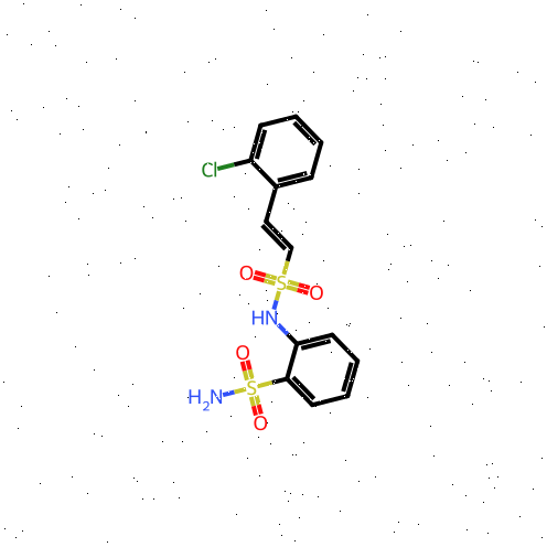 NS(=O)(=O)c1ccccc1NS(=O)(=O)C=Cc1ccccc1Cl